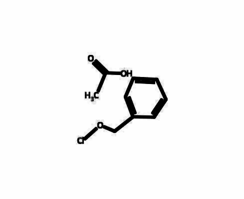 CC(=O)O.ClOCc1ccccc1